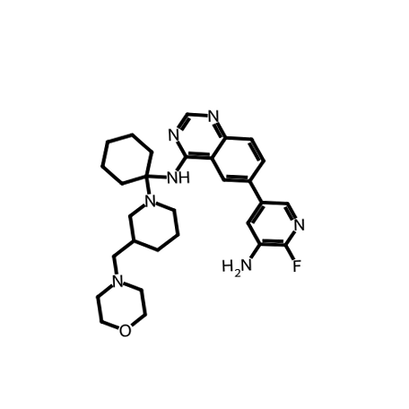 Nc1cc(-c2ccc3ncnc(NC4(N5CCCC(CN6CCOCC6)C5)CCCCC4)c3c2)cnc1F